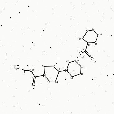 CCOC(=O)N1CCC(N2CCC[C@@H](NC(=O)C3CCCCC3)C2)CC1